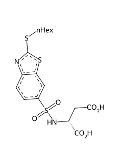 CCCCCCSc1nc2ccc(S(=O)(=O)N[C@H](CC(=O)O)C(=O)O)cc2s1